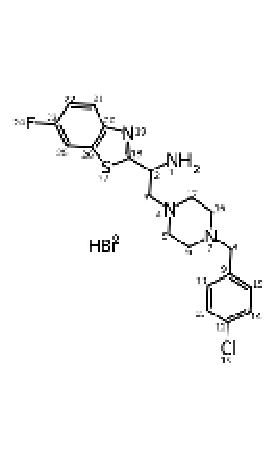 Br.NC(CN1CCN(Cc2ccc(Cl)cc2)CC1)c1nc2ccc(F)cc2s1